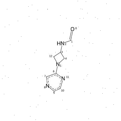 O=CNC1CN(c2cnccn2)C1